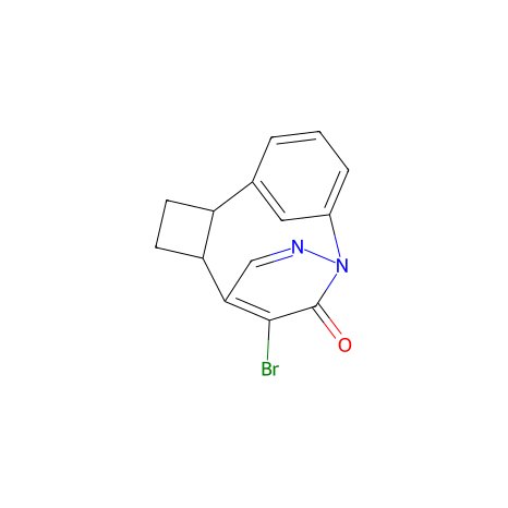 O=c1c(Br)c2cnn1-c1cccc(c1)C1CCC21